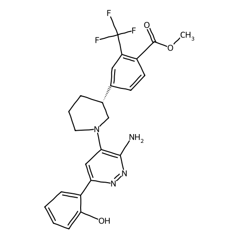 COC(=O)c1ccc([C@H]2CCCN(c3cc(-c4ccccc4O)nnc3N)C2)cc1C(F)(F)F